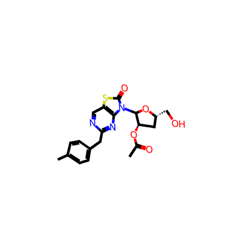 CC(=O)O[C@@H]1C[C@@H](CO)OC1n1c(=O)sc2cnc(Cc3ccc(C)cc3)nc21